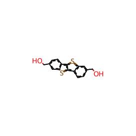 OCc1ccc2c(c1)sc1c3ccc(CO)cc3sc21